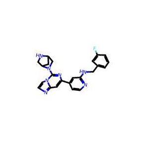 Fc1cccc(CNc2cc(-c3cc4nccn4c(N4CC5CC4CN5)n3)ccn2)c1